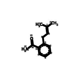 CC(C)=CCc1ccccc1C(N)=O